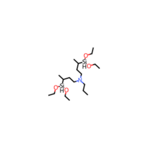 CCCN(CCC(C)[SiH](OCC)OCC)CCC(C)[SiH](OCC)OCC